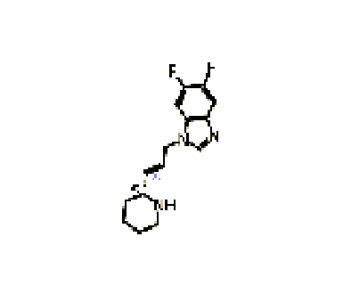 Fc1cc2ncn(C/C=C/[C@H]3CCCCN3)c2cc1F